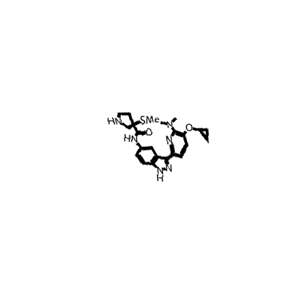 CSC1(C(=O)Nc2ccc3[nH]nc(-c4ccc(OC5CC5)c(N(C)C)n4)c3c2)CCNC1